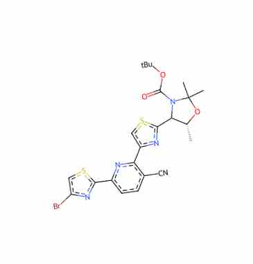 C[C@H]1OC(C)(C)N(C(=O)OC(C)(C)C)C1c1nc(-c2nc(-c3nc(Br)cs3)ccc2C#N)cs1